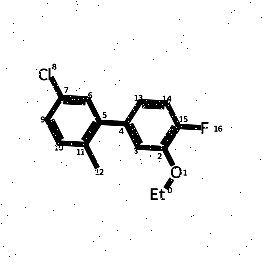 CCOc1cc(-c2cc(Cl)ccc2C)ccc1F